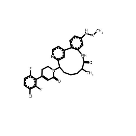 CSNc1ccc2c(c1)NC(=O)C(C)CCCC(N1CCC(c3c(F)ccc(Cl)c3F)=CC1=O)c1cc-2ccn1